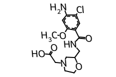 COc1cc(N)c(Cl)cc1C(=O)NCC1CN(CC(=O)O)CCO1